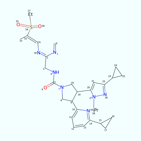 C=N/C(CNC(=O)N1CC(c2cccc(C3CC3)n2)C(c2cc(C3CC3)nn2C(C)C)C1)=N\C=C(/C)S(=O)(=O)CC